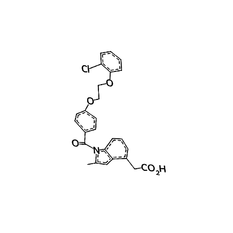 Cc1cc2c(CC(=O)O)cccc2n1C(=O)c1ccc(OCCOc2ccccc2Cl)cc1